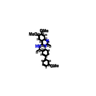 COc1cccc(-c2cccc([C@@H](C)Nc3nc(C)nc4cc(OC)c(OC)cc34)c2)c1